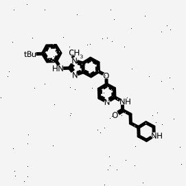 Cn1c(Nc2cccc(C(C)(C)C)c2)nc2cc(Oc3ccnc(NC(=O)CCC4CCNCC4)c3)ccc21